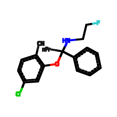 CCCC(NCCF)(Oc1cc(Cl)ccc1C#N)c1ccccc1